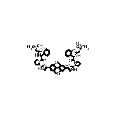 CN(C)CC(=O)N[C@@H](C(=O)N1CCC[C@H]1C1NC=C(c2cc3c4c(c2)OCc2cc(C5=CNC([C@@H]6CCCN6C(=O)[C@H](NC(=O)CN(C)C)c6ccccc6)N5)cc(c2-4)OC3)N1)c1ccccc1